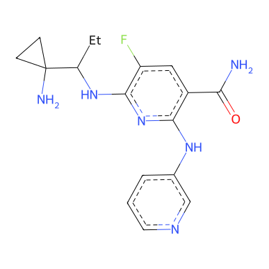 CCC(Nc1nc(Nc2cccnc2)c(C(N)=O)cc1F)C1(N)CC1